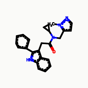 Cn1nccc1CN(C(=O)Cc1c(-c2ccccc2)[nH]c2ccccc12)C1CC1